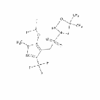 Cn1nc(C(F)(F)F)c(CS(=O)(=O)N2CC(C)(C)ON2)c1OC(F)F